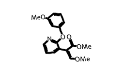 COC=C(C(=O)OC)c1cccnc1Oc1cccc(OC)c1